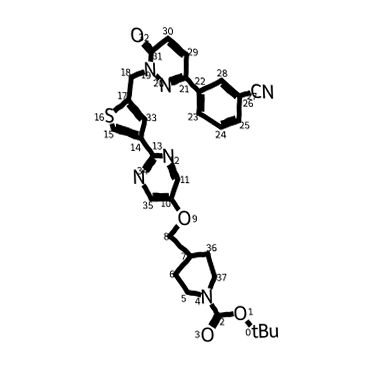 CC(C)(C)OC(=O)N1CCC(COc2cnc(-c3csc(Cn4nc(-c5cccc(C#N)c5)ccc4=O)c3)nc2)CC1